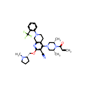 C=CC(=O)N1[C@H](C)CN(c2c(C#N)c(OC[C@@H]3CCCN3C)nc3c2CCN(c2ccccc2C(F)(F)F)C3)C[C@@H]1C